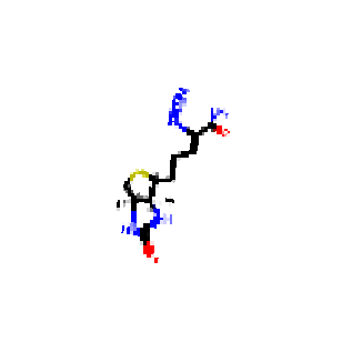 [N-]=[N+]=NC(CCC[C@@H]1SC[C@@H]2NC(=O)N[C@@H]21)C(N)=O